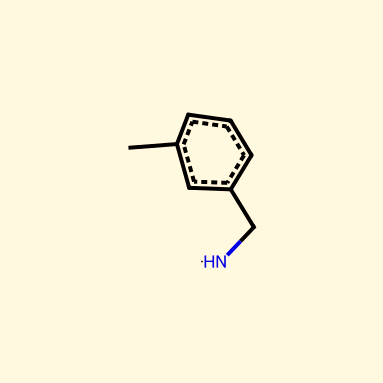 Cc1cccc(C[NH])c1